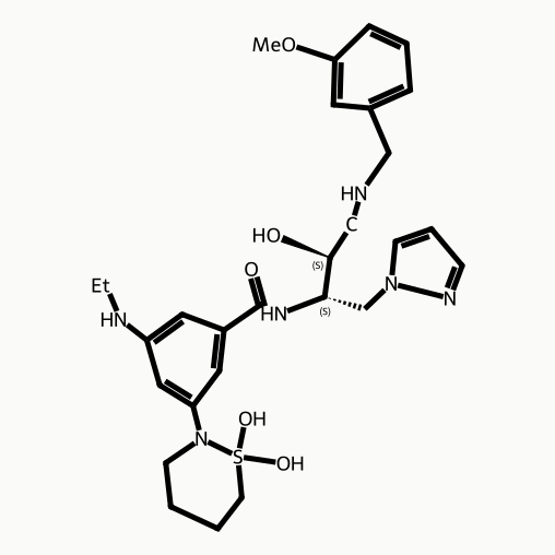 CCNc1cc(C(=O)N[C@@H](Cn2cccn2)[C@@H](O)CNCc2cccc(OC)c2)cc(N2CCCCS2(O)O)c1